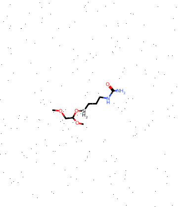 COCC(OC)O[SiH2]CCCNC(N)=O